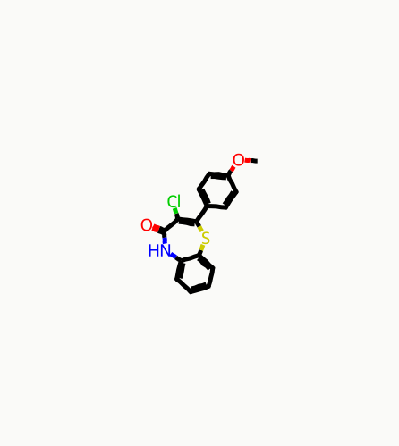 COc1ccc(C2=C(Cl)C(=O)Nc3ccccc3S2)cc1